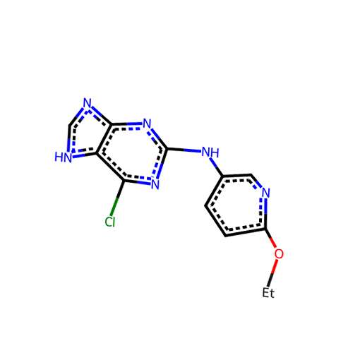 CCOc1ccc(Nc2nc(Cl)c3[nH]cnc3n2)cn1